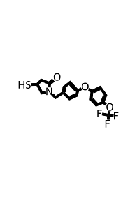 O=C1CC(S)CN1Cc1ccc(Oc2ccc(OC(F)(F)F)cc2)cc1